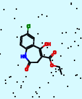 CCOC(=O)C1=C(O)c2cc(Cl)ccc2NC(=O)C1